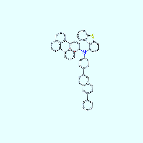 c1ccc(-c2ccc3cc(-c4ccc(N(c5ccc(-c6cccc7cccc(-c8ccccc8)c67)cc5)c5cccc6sc7ccccc7c56)cc4)ccc3c2)cc1